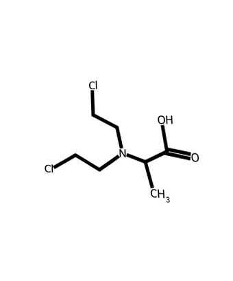 CC(C(=O)O)N(CCCl)CCCl